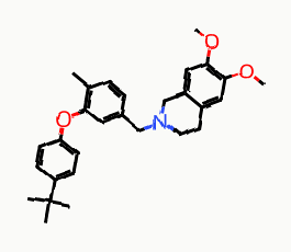 COc1cc2c(cc1OC)CN(Cc1ccc(C)c(Oc3ccc(C(C)(C)C)cc3)c1)CC2